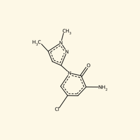 Cc1cc(-n2cc(Cl)cc(N)c2=O)nn1C